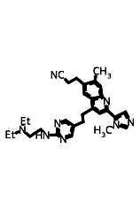 CCN(CC)CCNc1ncc(CCc2cc(-c3cncn3C)nc3cc(C)c(CCC#N)cc23)cn1